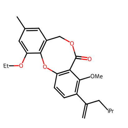 C=C(CC(C)C)c1ccc2c(c1OC)C(=O)OCc1cc(C)cc(OCC)c1O2